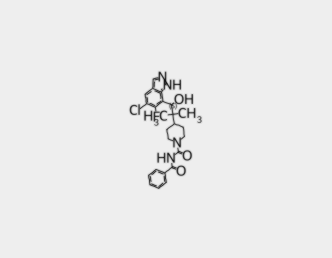 CC(C)(C1CCN(C(=O)NC(=O)c2ccccc2)CC1)[C@H](O)c1c(F)c(Cl)cc2cn[nH]c12